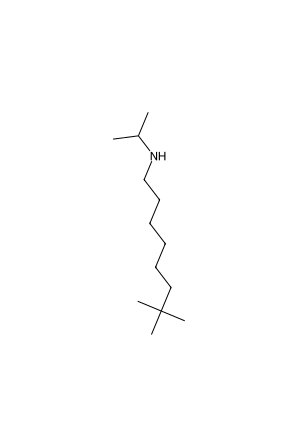 CC(C)NCCCCCCC(C)(C)C